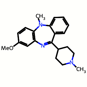 COc1ccc2c(c1)N=C(C1CCN(C)CC1)c1ccccc1N2C